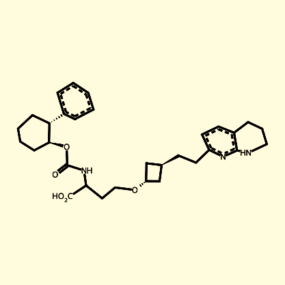 O=C(NC(CCO[C@H]1C[C@H](CCc2ccc3c(n2)NCCC3)C1)C(=O)O)O[C@H]1CCCC[C@@H]1c1ccccc1